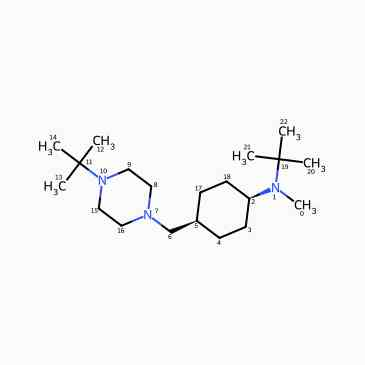 CN([C@H]1CC[C@@H](CN2CCN(C(C)(C)C)CC2)CC1)C(C)(C)C